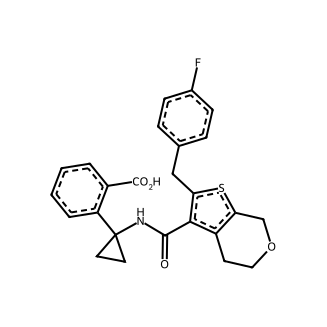 O=C(O)c1ccccc1C1(NC(=O)c2c(Cc3ccc(F)cc3)sc3c2CCOC3)CC1